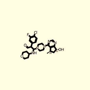 C[C@@H]1C[C@@H](O)c2ncnc(N3CCN(C(NC4CCOCC4)C(C=O)c4ccc(Cl)c(F)c4)CC3)c21